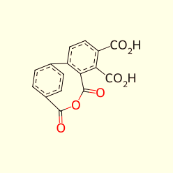 O=C1OC(=O)c2c(ccc(C(=O)O)c2C(=O)O)-c2ccc1cc2